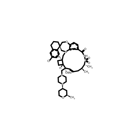 CO[C@@]1(CN2CCN([C@@H]3CCO[C@H](C)C3)CC2)/C=C/C[C@H](C)[C@@H](C)S(=O)(=O)NC(=O)c2ccc3c(c2)N(C[C@@H]2CC[C@H]21)C[C@@]1(CCCc2cc(Cl)ccc21)CO3